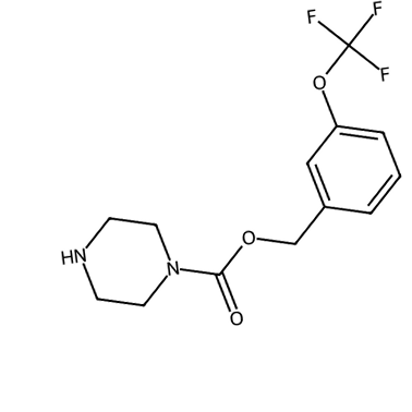 O=C(OCc1cccc(OC(F)(F)F)c1)N1CCNCC1